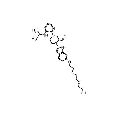 CC(C)Nc1cccnc1N1CCN(c2cc3ccc(OCCOCCOCCO)cc3[nH]2)C(C=O)C1